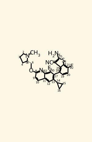 CN1CCC[C@H]1COc1ccc2cc(C3CC3)c(-c3ccc(F)c4sc(N)c(C#N)c34)c(F)c2n1